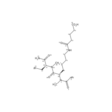 CCCC(=O)N(C)[C@H](CSCCNC(=O)CCCC(=O)O)C(=O)N(C)[C@@H](CC(C)C)C(N)=O